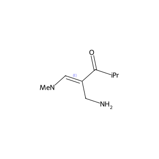 CN/C=C(\CN)C(=O)C(C)C